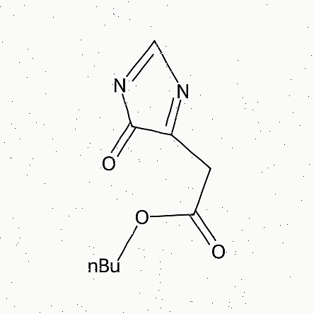 CCCCOC(=O)CC1=NC=NC1=O